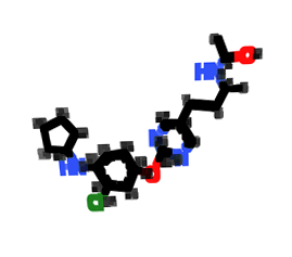 CC(=O)N[C@@H](C)/C=C/c1cnc(Oc2ccc(NC3CCCC3)c(Cl)c2)nc1